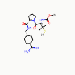 CCSC(C)(C)[C@@H](NC(=O)OC(C)C)C(=O)N1CCC[C@H]1C(=O)NC[C@H]1CC[C@H](C(=N)N)CC1